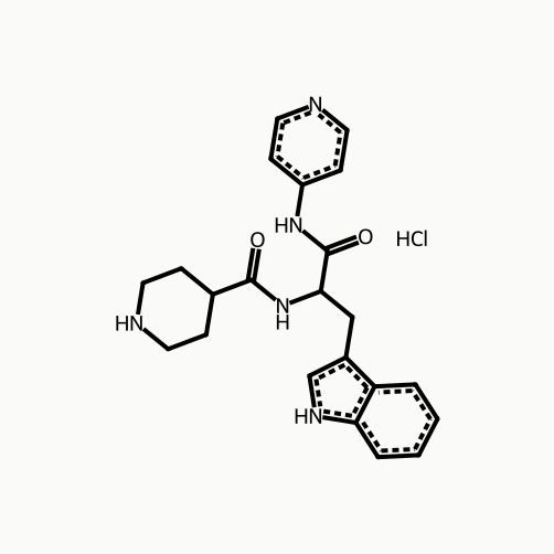 Cl.O=C(NC(Cc1c[nH]c2ccccc12)C(=O)Nc1ccncc1)C1CCNCC1